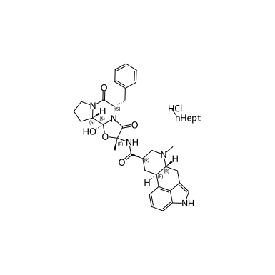 CCCCCCCC.CN1C[C@H](C(=O)N[C@]2(C)O[C@@]3(O)[C@@H]4CCCN4C(=O)[C@H](Cc4ccccc4)N3C2=O)C[C@@H]2c3cccc4[nH]cc(c34)C[C@H]21.Cl